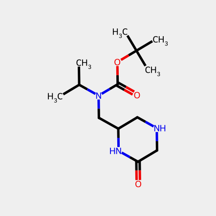 CC(C)N(CC1CNCC(=O)N1)C(=O)OC(C)(C)C